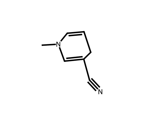 CN1C=CCC(C#N)=C1